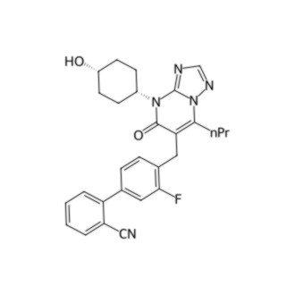 CCCc1c(Cc2ccc(-c3ccccc3C#N)cc2F)c(=O)n([C@H]2CC[C@@H](O)CC2)c2ncnn12